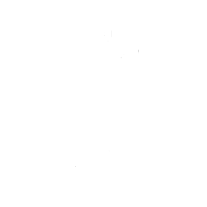 CC1(C)CCSc2ccc(C3=CC(=C=O)C(C(=O)O)C=C3)cc21